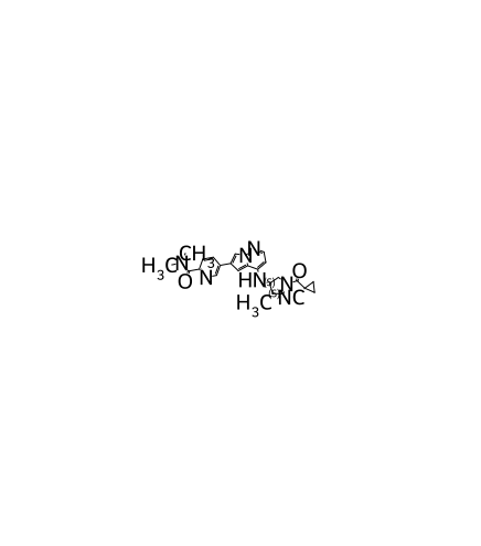 C[C@H]1CN(C(=O)C2(C#N)CC2)C[C@H]1Nc1ccnn2cc(-c3ccc(C(=O)N(C)C)nc3)cc12